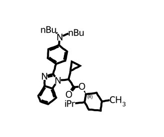 CCCCN(CCCC)c1ccc(-c2nc3ccccc3n2C(C(=O)O[C@@H]2CC(C)CCC2C(C)C)C2CC2)cc1